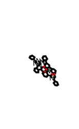 c1ccc(-c2cccc(-c3ccccc3-n3c4ccccc4c4cc5c6ccccc6n(-c6nc(-c7ccccc7)nc(-c7ccccc7-c7ccccc7)n6)c5cc43)n2)cc1